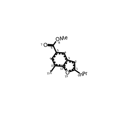 CCCc1cc2cc(C(=O)OC)cc(I)c2o1